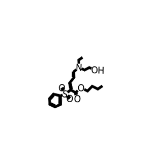 CCCCOC(=O)C(=CC=CN(CC)CCO)S(=O)(=O)c1ccccc1